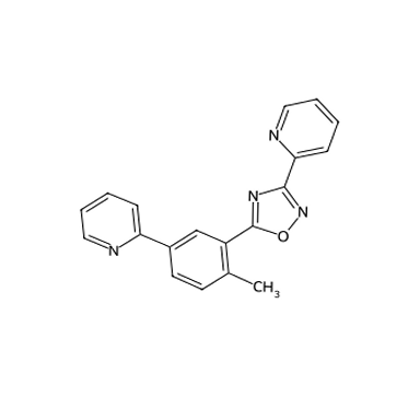 Cc1ccc(-c2ccccn2)cc1-c1nc(-c2ccccn2)no1